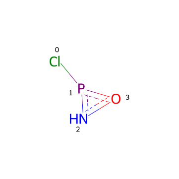 Clp1[nH]o1